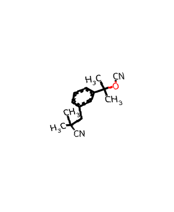 CC(C)(C#N)Cc1cccc(C(C)(C)OC#N)c1